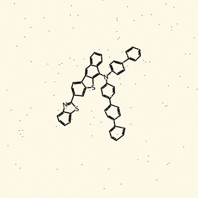 c1ccc(-c2ccc(-c3ccc(N(c4ccc(-c5ccccc5)cc4)c4c5ccccc5cc5c4sc4cc(-c6nc7ccccc7s6)ccc45)cc3)cc2)cc1